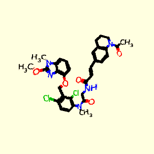 COc1nc2c(OCc3c(Cl)ccc(N(C)C(=O)CNC(=O)/C=C/c4ccc5c(c4)CCCN5C(C)=O)c3Cl)cccc2n1C